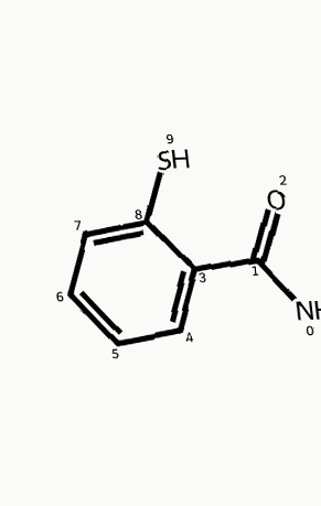 [NH]C(=O)c1ccccc1S